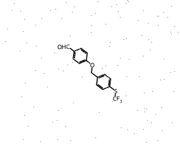 O=Cc1ccc(OCc2ccc(SC(F)(F)F)cc2)cc1